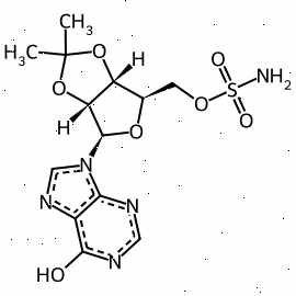 CC1(C)O[C@@H]2[C@H](O1)[C@@H](COS(N)(=O)=O)O[C@H]2n1cnc2c(O)ncnc21